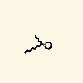 CCCCCCCC(CCCCC)N1CCCCCC1